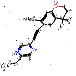 CCCCCCc1cc2c(cc1C#Cc1cnc(CC(=O)OCC)cn1)C(CC)(CC)CCO2